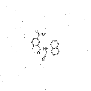 Cc1ccc([N+](=O)[O-])cc1C(=O)NC(C#N)c1cccc2ccccc12